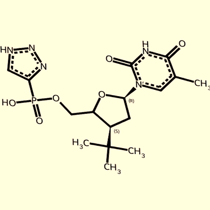 Cc1cn([C@H]2C[C@@H](C(C)(C)C)C(COP(=O)(O)c3c[nH]nn3)O2)c(=O)[nH]c1=O